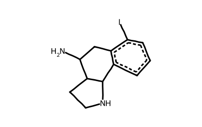 NC1Cc2c(I)cccc2C2NCCC12